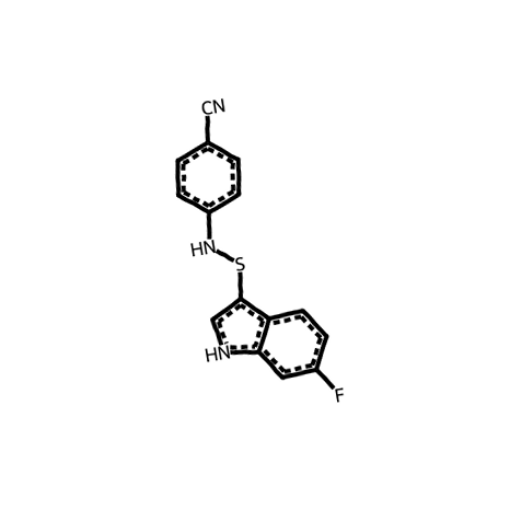 N#Cc1ccc(NSc2c[nH]c3cc(F)ccc23)cc1